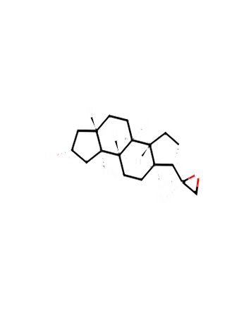 C[C@]12C[C@H](O)C[C@@H]1CC[C@@H]1[C@@H]2CC[C@@]2(C)[C@H]1CC[C@@H]2[C@]1(C)CO1